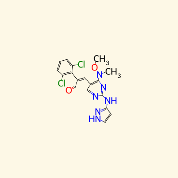 CON(C)c1nc(Nc2cc[nH]n2)ncc1/C=C(\C=O)c1c(Cl)cccc1Cl